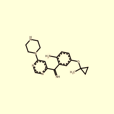 CC1(Oc2ccc(N)c(C(=N)c3cc(N4CCNCC4)ncn3)c2)CC1